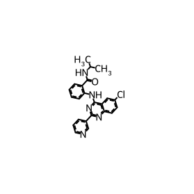 CC(C)NC(=O)c1ccccc1Nc1nc(-c2cccnc2)nc2ccc(Cl)cc12